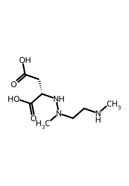 CNCCN(C)N[C@@H](CC(=O)O)C(=O)O